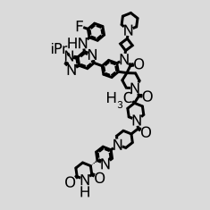 CC(C)n1cnc2cc(-c3ccc4c(c3)N(C3CC(N5CCCCC5)C3)C(=O)C43CCN(C(=O)C4(C)CCN(C(=O)C5CCN(c6ccc([C@H]7CCC(=O)NC7=O)nc6)CC5)CC4)CC3)nc(Nc3ccccc3F)c21